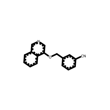 N#Cc1cccc(COc2cncc3ccccc23)c1